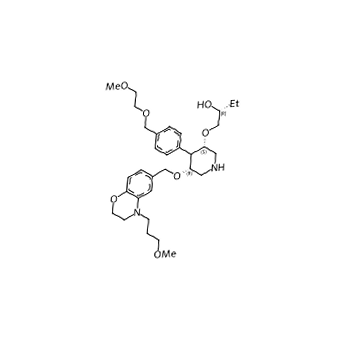 CC[C@@H](O)CO[C@@H]1CNC[C@H](OCc2ccc3c(c2)N(CCCOC)CCO3)C1c1ccc(COCCOC)cc1